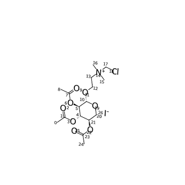 CC(=O)O[C@@H]1[C@@H](OC(C)=O)[C@H](OCC[N+](C)(C)CCl)OC[C@H]1OC(C)=O.[I-]